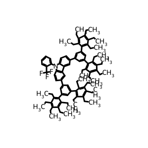 CCc1c(CC)c(CC)c(-c2cc(-c3ccc4c(c3)c3cc(-c5cc(-c6c(CC)c(CC)c(CC)c(CC)c6CC)cc(-c6c(CC)c(CC)c(CC)c(CC)c6CC)c5)ccc3n4-c3ccccc3C(F)(F)F)cc(-c3c(CC)c(CC)c(CC)c(CC)c3CC)c2)c(CC)c1CC